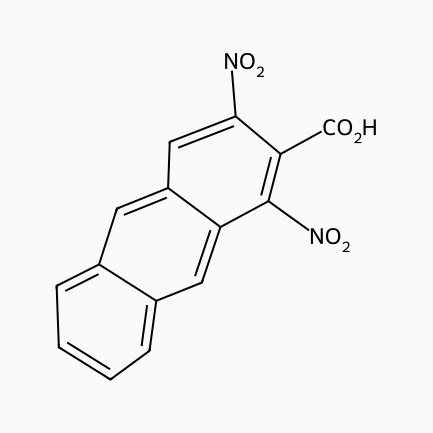 O=C(O)c1c([N+](=O)[O-])cc2cc3ccccc3cc2c1[N+](=O)[O-]